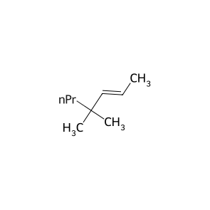 CC=CC(C)(C)CCC